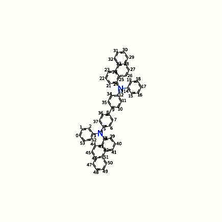 c1ccc(N(c2ccc(-c3ccc(N(c4ccccc4)c4cccc5c4ccc4ccccc45)cc3)cc2)c2cccc3c2ccc2ccccc23)cc1